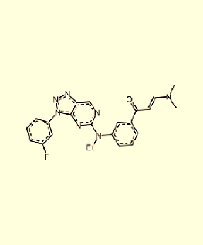 CCN(c1cccc(C(=O)/C=C/N(C)C)c1)c1ncc2nnn(-c3cccc(F)c3)c2n1